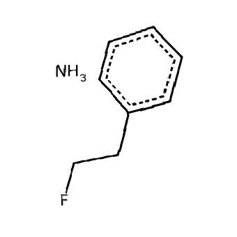 FCCc1ccccc1.N